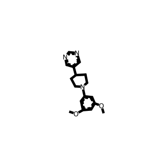 COc1cc(OC)cc(N2CCC(c3cncnc3)CC2)c1